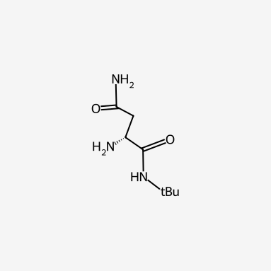 CC(C)(C)NC(=O)[C@H](N)CC(N)=O